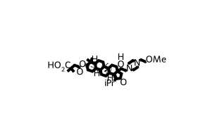 COCCN1CCN(CC(O)C23CC[C@]4(C)[C@H](CC[C@@H]5[C@@]6(C)CC[C@H](OC(=O)CC(C)(C)C(=O)O)C(C)(C)[C@@H]6CC[C@]54C)C2=C(C(C)C)C(=O)C3)CC1